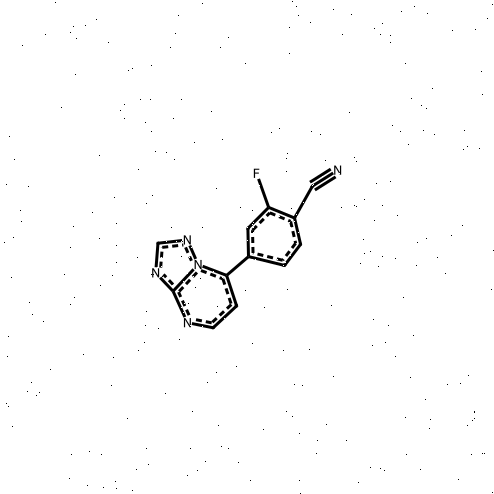 N#Cc1ccc(-c2ccnc3ncnn23)cc1F